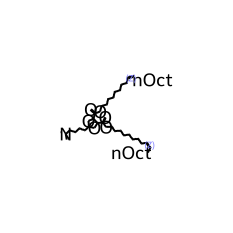 CCCCCCCC/C=C\CCCCCCCCOC(=O)C1OC(CCCCN(C)C)OC1C(=O)OCCCCCCCC/C=C\CCCCCCCC